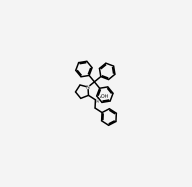 O[C@H](Cc1ccccc1)C1CCCN1C(c1ccccc1)(c1ccccc1)c1ccccc1